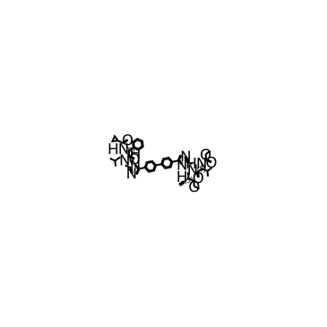 C#C[C@H](COC)CN(Cc1ncc(-c2ccc(-c3ccc(-c4cnc(CN(CC(C)C)C(=O)[C@H](NC(=O)C5CC5)c5ccccc5)[nH]4)cc3)cc2)[nH]1)C(=O)[C@@H](NC(=O)OC)C(C)C